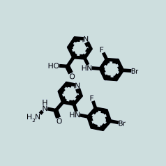 NNC(=O)c1ccncc1Nc1ccc(Br)cc1F.O=C(O)c1ccncc1Nc1ccc(Br)cc1F